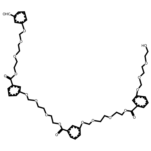 O=Cc1cccc(OCOCCOCCOC(=O)c2cccc(OCOCCOCCOC(=O)c3cccc(OCOCCOCCOC(=O)c4cccc(OCOCCOCCO)c4)c3)c2)c1